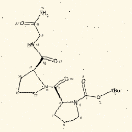 CC(C)(C)OC(=O)N1CCC[C@H]1C(=O)N1CCC[C@H]1C(=O)NCC(N)=O